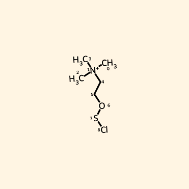 C[N+](C)(C)CCOSCl